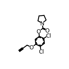 C#CCOc1cc(OC(=O)N2CCCC2)c(Cl)cc1Cl